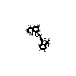 FC(F)(F)c1ccccc1C#CCOc1cccc2cccnc12